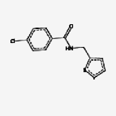 O=C(NCc1cc[c]s1)c1ccc(Cl)cc1